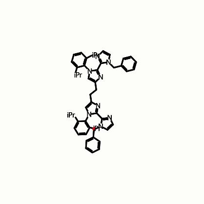 CC(C)c1cccc(C(C)C)c1-n1cc(CCc2cn(-c3c(C(C)C)cccc3C(C)C)c(-c3nccn3Cc3ccccc3)n2)nc1-c1nccn1Cc1ccccc1